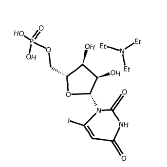 CCN(CC)CC.O=c1cc(I)n([C@@H]2O[C@H](COP(=O)(O)O)[C@@H](O)[C@H]2O)c(=O)[nH]1